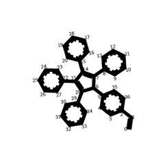 C=Cc1ccc(C2C(c3ccccc3)=C(c3ccccc3)C(c3ccccc3)=C2c2ccccc2)cc1